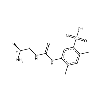 [CH2][C@H](N)[CH]NC(=O)Nc1cc(S(=O)(=O)O)c(C)cc1C